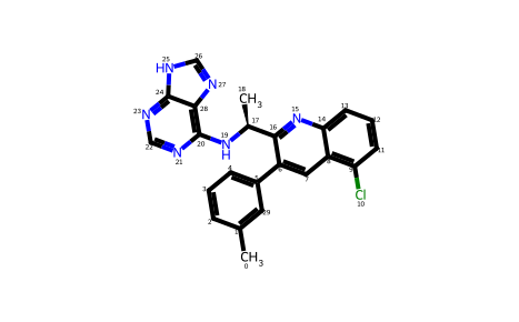 Cc1cccc(-c2cc3c(Cl)cccc3nc2[C@H](C)Nc2ncnc3[nH]cnc23)c1